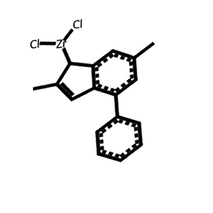 CC1=Cc2c(-c3ccccc3)cc(C)cc2[CH]1[Zr]([Cl])[Cl]